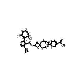 O=C(O)c1ccc(N2C3CCC2CC2(CC(OCc4c(-c5c(Cl)cccc5Cl)noc4C4CC4)C2)C3)cn1